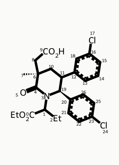 CCOC(=O)C(CC)N1C(=O)[C@@](C)(CC(=O)O)CC(c2cccc(Cl)c2)[C@H]1c1ccc(Cl)cc1